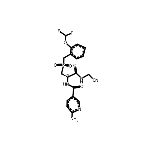 N#CCNC(=O)[C@H](CS(=O)(=O)Cc1ccccc1OC(F)F)NC(=O)c1ccc(N)nc1